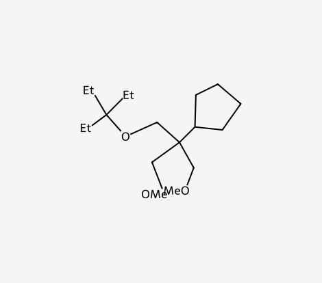 CCC(CC)(CC)OCC(COC)(COC)C1CCCC1